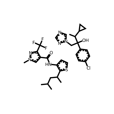 CC(C)CC(C)c1sccc1NC(=O)c1cn(C)nc1C(F)(F)F.CC(C1CC1)C(O)(Cn1cncn1)c1ccc(Cl)cc1